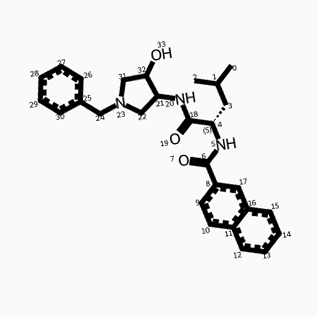 CC(C)C[C@H](NC(=O)c1ccc2ccccc2c1)C(=O)NC1CN(Cc2ccccc2)CC1O